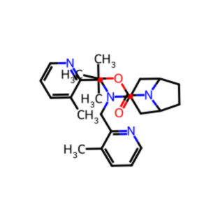 Cc1cccnc1CN(Cc1ncccc1C)C1CC2CCC(C1)N2C(=O)OC(C)(C)C